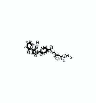 C=C/C=C(\C=C)CNC(=O)c1ccc(-n2ncc(-n3ccccc3=O)c2O)nc1